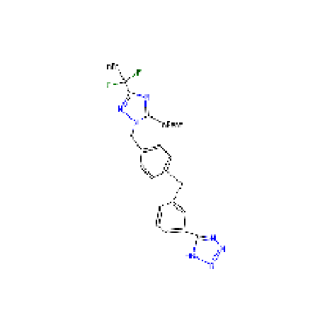 CCCCCc1nc(C(F)(F)CCC)nn1Cc1ccc(Cc2cccc(-c3nnn[nH]3)c2)cc1